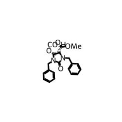 COC(=O)[C@H]1[C@@H](OC(=O)O)N(Cc2ccccc2)C(=O)N1Cc1ccccc1